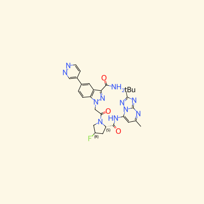 Cc1cc(NC(=O)[C@@H]2C[C@@H](F)CN2C(=O)Cn2nc(C(N)=O)c3cc(-c4ccnnc4)ccc32)n2nc(C(C)(C)C)nc2n1